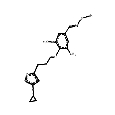 CCON=Cc1cc(C)c(OCCCc2cc(C3CC3)no2)c(C)c1